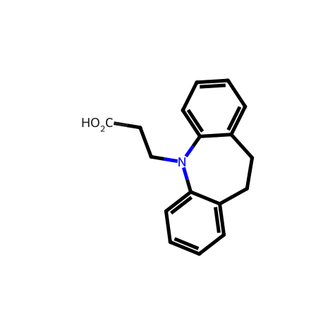 O=C(O)CCN1c2ccccc2CCc2ccccc21